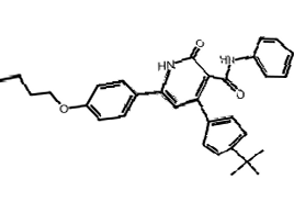 CCCCOc1ccc(-c2cc(-c3ccc(C(C)(C)C)cc3)c(C(=O)Nc3ccccc3)c(=O)[nH]2)cc1